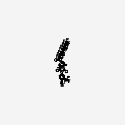 CC12CC(N(C(=O)C(F)(F)C(F)(F)C(F)(F)C(F)(F)C(F)(F)C(F)(F)C(F)(F)F)C1)[C@@]1(C)C(=O)N(c3ccc(C#N)c(C(F)(F)F)c3)C(=O)N21